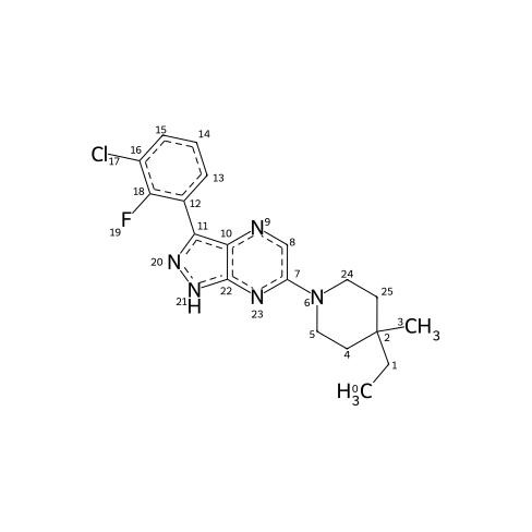 CCC1(C)CCN(c2cnc3c(-c4cccc(Cl)c4F)n[nH]c3n2)CC1